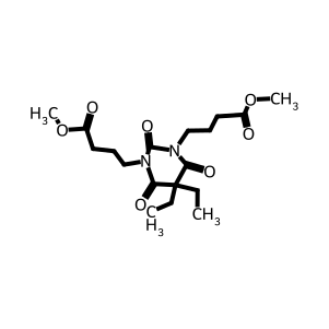 CCC1(CC)C(=O)N(CCCC(=O)OC)C(=O)N(CCCC(=O)OC)C1=O